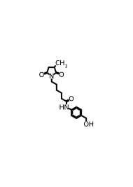 CC1CC(=O)N(CCCCCC(=O)Nc2ccc(CO)cc2)C1=O